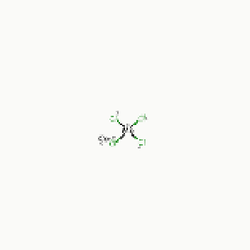 [Cl][Mo]([Cl])([Cl])[Cl].[Co]